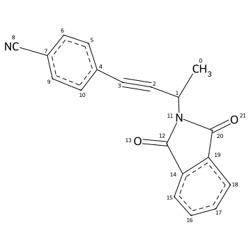 CC(C#Cc1ccc(C#N)cc1)N1C(=O)c2ccccc2C1=O